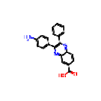 Nc1ccc(-c2nc3cc(C(=O)O)ccc3nc2-c2ccccc2)cc1